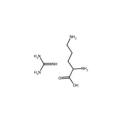 N=C(N)N.NCCCC(N)C(=O)O